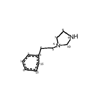 c1ccc(CCN2CCNC2)cc1